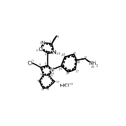 Cc1noc(-c2c(Cl)c3ccccc3n2-c2ccc(CN)cc2)n1.Cl